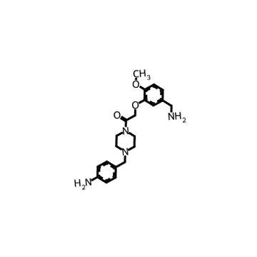 COc1ccc(CN)cc1OCC(=O)N1CCN(Cc2ccc(N)cc2)CC1